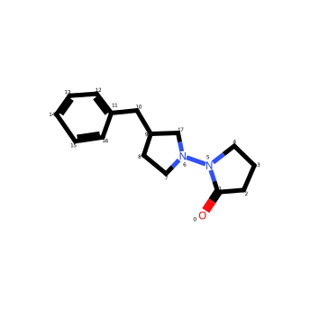 O=C1CCCN1N1CCC(Cc2ccccc2)C1